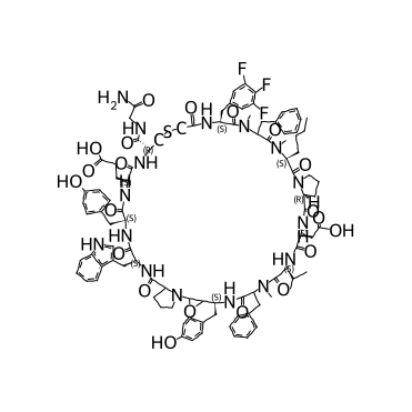 CCCC[C@H]1C(=O)N2CCC[C@@H]2C(=O)N[C@@H](CC(=O)O)C(=O)N[C@@H](C(C)C)C(=O)N(C)C(Cc2ccccc2)C(=O)N[C@@H](Cc2ccc(O)cc2)C2OC2N2CCCC2C(=O)N[C@@H](Cc2c[nH]c3ccccc23)C(=O)N[C@@H](Cc2ccc(O)cc2)C(=O)N[C@@H](CCC(=O)O)C(=O)N[C@H](C(=O)NCC(N)=O)CSCC(=O)N[C@@H](Cc2cc(F)c(F)c(F)c2)C(=O)N(C)C(Cc2ccccc2)C(=O)N1C